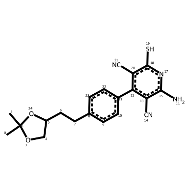 CC1(C)OCC(CCc2ccc(-c3c(C#N)c(N)nc(S)c3C#N)cc2)O1